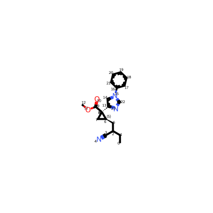 CCC(C#N)C[C@H]1C[C@]1(C(=O)OC)c1cn(-c2ccccc2)cn1